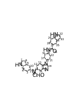 O=CN(c1ccc2[nH]ccc2c1)c1ccc2c(c1)ncn2-c1ccc(NC(=O)c2ccc3[nH]ccc3c2)cc1